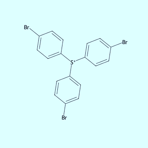 Brc1ccc([S+](c2ccc(Br)cc2)c2ccc(Br)cc2)cc1